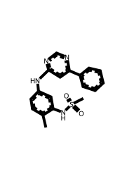 Cc1ccc(Nc2cc(-c3ccccc3)ncn2)cc1NS(C)(=O)=O